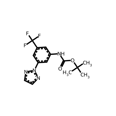 CC(C)(C)OC(=O)Nc1cc(-n2nccn2)cc(C(F)(F)F)c1